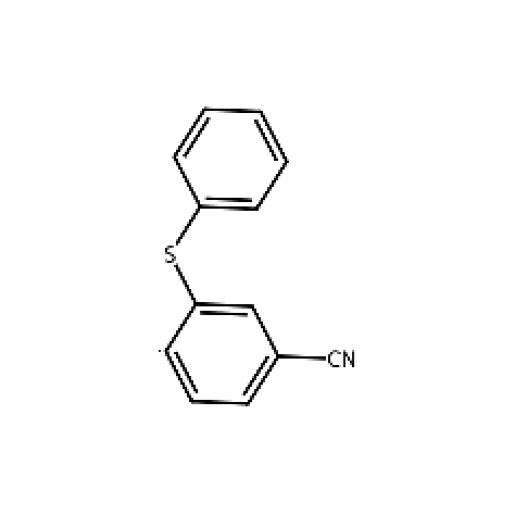 N#Cc1cc[c]c(Sc2ccccc2)c1